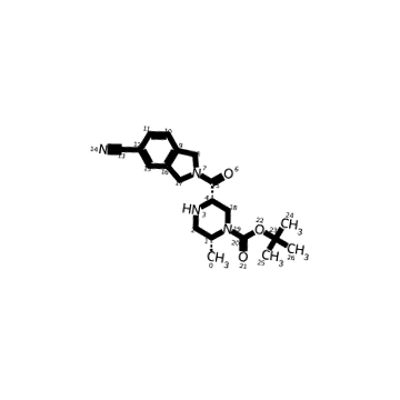 C[C@@H]1CN[C@H](C(=O)N2Cc3ccc(C#N)cc3C2)CN1C(=O)OC(C)(C)C